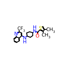 Cc1csc(C(=O)NC2CCC(Nc3cc(C(F)(F)F)nc4ccccc34)CC2)c1C